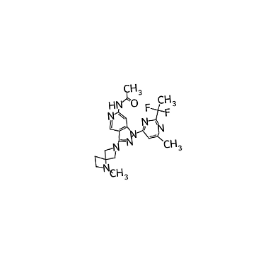 CC(=O)Nc1cc2c(cn1)c(N1CC3(CCN3C)C1)nn2-c1cc(C)nc(C(C)(F)F)n1